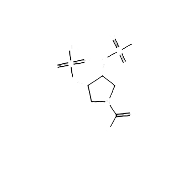 CS(=O)(=O)O[C@H]1CN(C(=O)O)C[C@H]1OS(C)(=O)=O